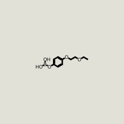 CCOCCOc1ccc(OB(O)O)cc1